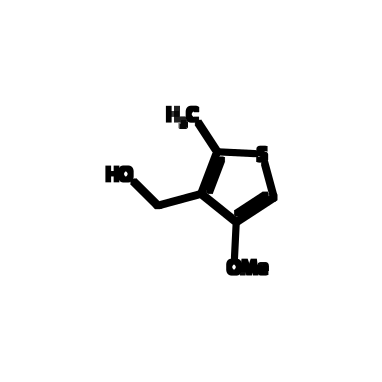 COc1csc(C)c1CO